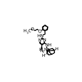 COCCOc1ccccc1CNc1ncc(C#N)c(NC[C@]23CC4C[C@H](C2)[C@@H](N)[C@@H](C4)C3)n1